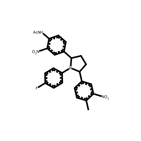 CC(=O)Nc1ccc(C2CCC(c3ccc(C)c([N+](=O)[O-])c3)N2c2ccc(F)cc2)cc1[N+](=O)[O-]